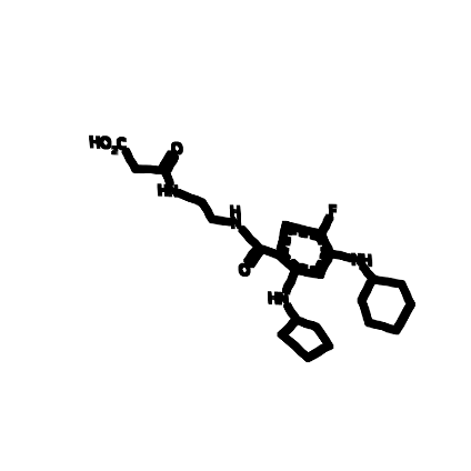 O=C(O)CC(=O)NCCNC(=O)c1cc(F)c(NC2CCCCC2)cc1NC1CCCC1